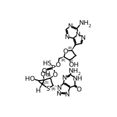 Nc1nc2c(nnn2[C@@H]2S[C@@H]3C(O)[C@]3(O)[C@H]2OP(=O)(S)OC[C@H]2O[C@@H](c3cnn4c(N)ncnc34)C[C@@H]2O)c(=O)[nH]1